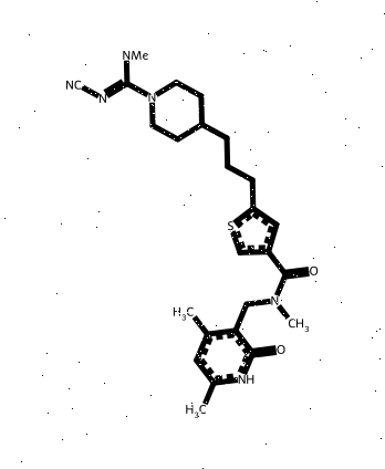 CNC(=NC#N)N1CCC(CCCc2cc(C(=O)N(C)Cc3c(C)cc(C)[nH]c3=O)cs2)CC1